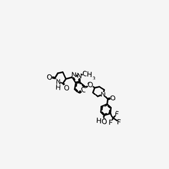 Cn1nc(C2CCC(=O)NC2=O)c2cccc(OC3CCN(C(=O)c4ccc(O)c(C(F)(F)F)c4)CC3)c21